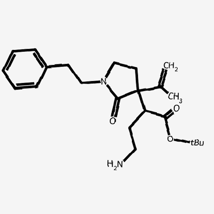 C=C(C)C1(C(CCN)C(=O)OC(C)(C)C)CCN(CCc2ccccc2)C1=O